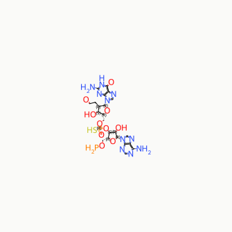 Nc1nc2c(ncn2[C@@H]2O[C@H](CO[P@@](=O)(S)O[C@H]3[C@@H](O)[C@H](n4cnc5c(N)ncnc54)O[C@@H]3COP)[C@@H](O)[C@H]2CC=O)c(=O)[nH]1